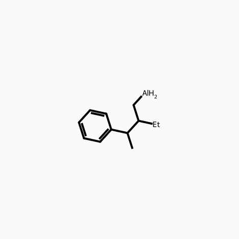 CCC([CH2][AlH2])C(C)c1ccccc1